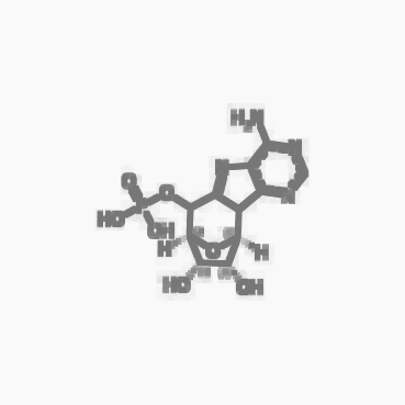 Nc1ncnc2c1N=C1C(OP(=O)(O)O)[C@H]3O[C@@H](C12)[C@H](O)[C@@H]3O